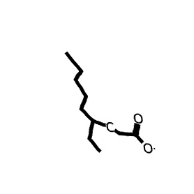 CCCCCC(CC)CCC([O])=O